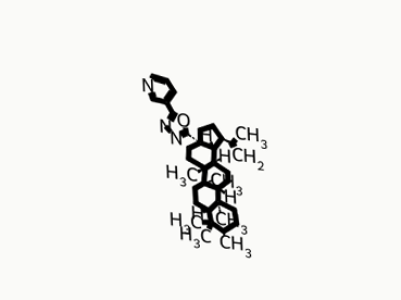 C=C(C)[C@@H]1CC[C@]2(c3nnc(-c4cccnc4)o3)CC[C@]3(C)[C@H](CC[C@@H]4[C@@]5(C)CC[C@H](C)C(C)(C)[C@@H]5CC[C@]43C)[C@@H]12